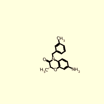 Cc1cccc(CN2C(=O)[C@@H](C)Oc3cc(N)ccc32)c1